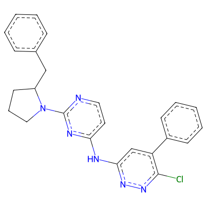 Clc1nnc(Nc2ccnc(N3CCCC3Cc3ccccc3)n2)cc1-c1ccccc1